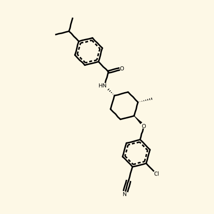 CC(C)c1ccc(C(=O)N[C@H]2CC[C@H](Oc3ccc(C#N)c(Cl)c3)[C@@H](C)C2)cc1